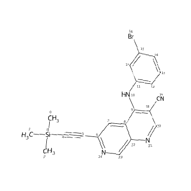 C[Si](C)(C)C#Cc1cc2c(Nc3cccc(Br)c3)c(C#N)cnc2cn1